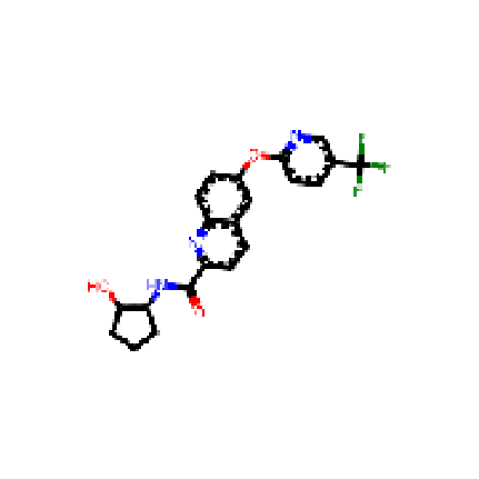 O=C(NC1CCCC1O)c1ccc2cc(Oc3ccc(C(F)(F)F)cn3)ccc2n1